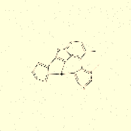 Cc1ccc2oc3c4ccccc4n4c5cnc[n+](C)c5c1c2c34